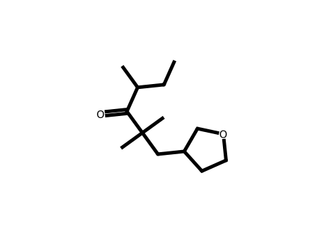 CCC(C)C(=O)C(C)(C)CC1CCOC1